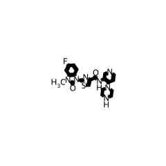 Cn1c(=O)n(-c2nc(C(=O)Nc3cnccc3N3CCNCC3)cs2)c2ccc(F)cc21